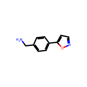 NCc1ccc(-c2ccno2)cc1